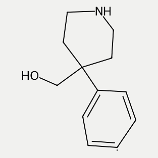 OCC1(c2cc[c]cc2)CCNCC1